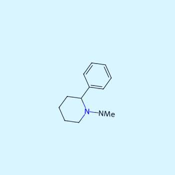 CNN1CCCCC1c1ccccc1